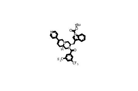 CC(C)(C)OC(=O)n1cc(C[C@@H]2CN3CC(c4ccncc4)=CC[C@@H]3CN2C(=O)c2cc(C(F)(F)F)cc(C(F)(F)F)c2)c2ccccc21